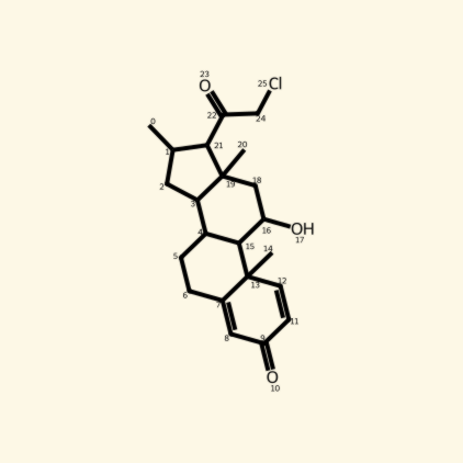 CC1CC2C3CCC4=CC(=O)C=CC4(C)C3C(O)CC2(C)C1C(=O)CCl